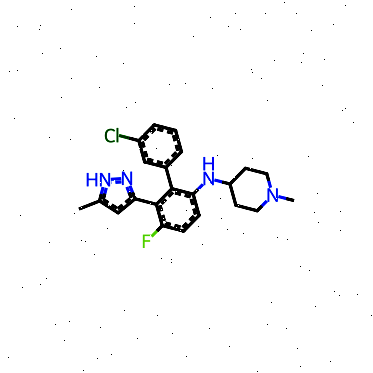 Cc1cc(-c2c(F)ccc(NC3CCN(C)CC3)c2-c2cccc(Cl)c2)n[nH]1